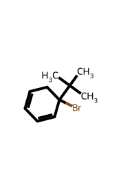 CC(C)(C)C1(Br)C=CC=CC1